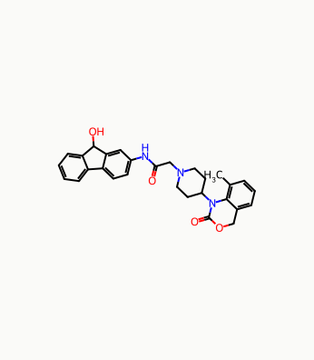 Cc1cccc2c1N(C1CCN(CC(=O)Nc3ccc4c(c3)C(O)c3ccccc3-4)CC1)C(=O)OC2